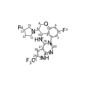 Fc1ccc2c(c1)OCC(N1CCC(F)C1)C2Nc1ncnc2[nH]c(C(F)(F)F)cc12